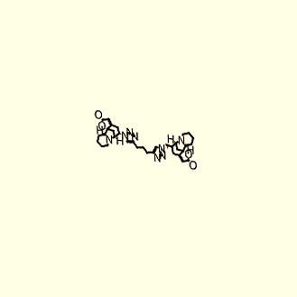 O=C1C=C2CC(/C=[N+]3/C=C(CCCc4cn([C@H]5CC6=CC(=O)O[C@@]67C[C@@H]5N5CCCC[C@@H]57)nn4)N=N3)[C@@H]3C[C@@]2(O1)[C@H]1CCCCN31